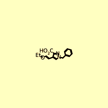 CCOC=Cc1cn(Cc2ccccc2)nc1C(=O)O